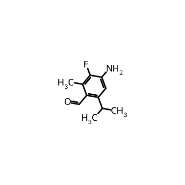 Cc1c(F)c(N)cc(C(C)C)c1C=O